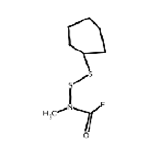 CN(SSC1CCCCC1)C(=O)F